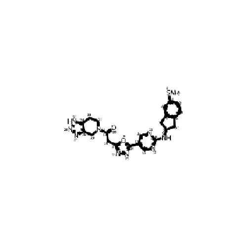 CSc1ccc2c(c1)CC(Nc1ncc(-c3nnc(CC(=O)N4CCc5[nH]nnc5C4)o3)cn1)C2